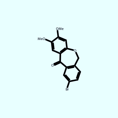 COc1cc2c(cc1OC)C(=O)c1cc(Br)ccc1CO2